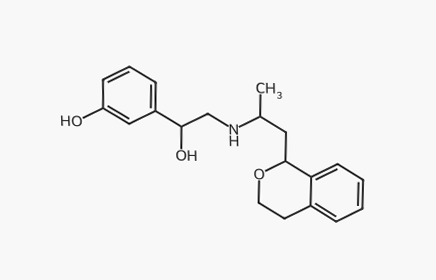 CC(CC1OCCc2ccccc21)NCC(O)c1cccc(O)c1